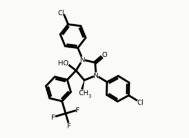 C[C@@H]1N(c2ccc(Cl)cc2)C(=O)N(c2ccc(Cl)cc2)C1(O)c1cccc(C(F)(F)F)c1